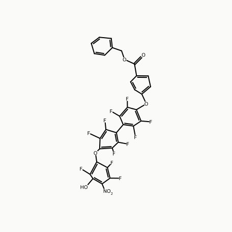 O=C(OCc1ccccc1)c1ccc(Oc2c(F)c(F)c(-c3c(F)c(F)c(Oc4c(F)c(O)c([N+](=O)[O-])c(F)c4F)c(F)c3F)c(F)c2F)cc1